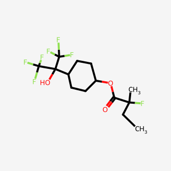 CCC(C)(F)C(=O)OC1CCC(C(O)(C(F)(F)F)C(F)(F)F)CC1